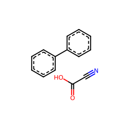 N#CC(=O)O.c1ccc(-c2ccccc2)cc1